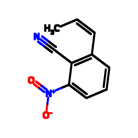 C/C=C\c1cccc([N+](=O)[O-])c1C#N